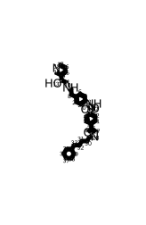 O=S(=O)(Nc1ccc(CCNCC(O)c2cccnc2)cc1)c1ccc(-c2cnc(CCCCC3CCCCC3)o2)cc1